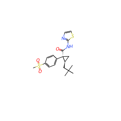 CC(C)(C)C[C@@H]1C[C@]1(C(=O)Nc1nccs1)c1ccc(S(C)(=O)=O)cc1